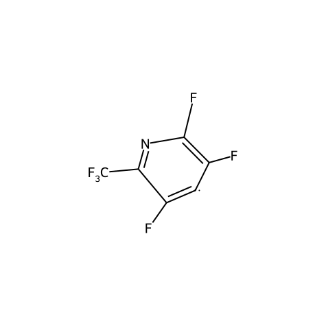 Fc1[c]c(F)c(C(F)(F)F)nc1F